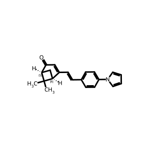 CC1(C)[C@@H]2C[C@H]1C(C=Cc1ccc(-n3cccc3)cc1)=CC2=O